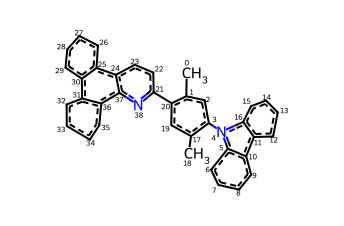 Cc1cc(-n2c3ccccc3c3ccccc32)c(C)cc1-c1ccc2c3ccccc3c3ccccc3c2n1